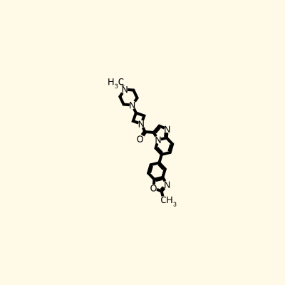 Cc1nc2cc(-c3ccc4ncc(C(=O)N5CC(N6CCN(C)CC6)C5)n4c3)ccc2o1